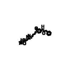 CC(C)(C)OC(=O)NCc1cn(CCCCn2ccc(NC(=O)Cc3ccccc3)cc2=O)nn1